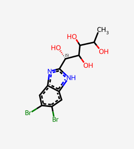 CC(O)C(O)C(O)[C@@H](O)c1nc2cc(Br)c(Br)cc2[nH]1